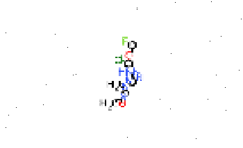 C=CC(=O)N1CCC(N(C)c2ccc3ncnc(Nc4ccc(OCc5cccc(F)c5)c(Cl)c4)c3n2)C1